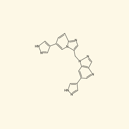 c1cc2ncc(Cn3ncc4ncc(-c5cn[nH]c5)cc43)n2cc1-c1cn[nH]c1